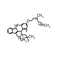 CNCCN(C)CCOc1cc(F)c(C2c3[nH]c4ccccc4c3C[C@@H](C)N2CC(C)(C)F)c(F)c1